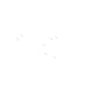 Cn1cc(CCOc2nc(N3CCOCC3)cc(-n3ccc(C4=CC(C)(C)CC=C4)n3)n2)cn1